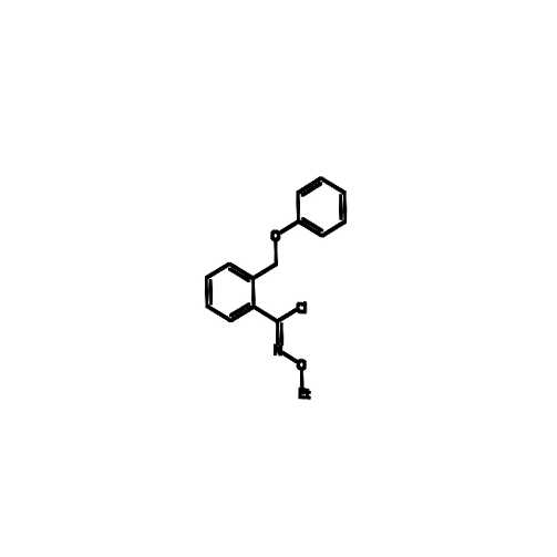 CCON=C(Cl)c1ccccc1COc1ccccc1